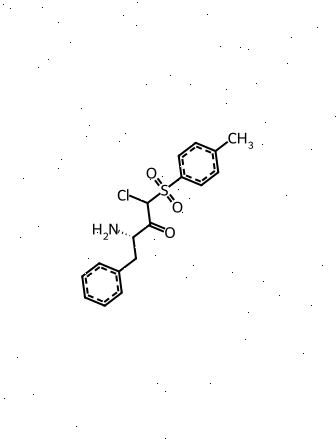 Cc1ccc(S(=O)(=O)C(Cl)C(=O)[C@@H](N)Cc2ccccc2)cc1